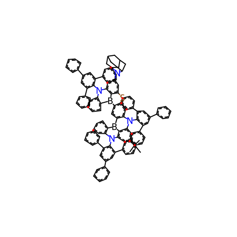 CC(C)(C)c1cc2c3c(c1)N(c1c(-c4ccccc4)cc(-c4ccccc4)cc1-c1ccccc1)c1cc4c(cc1B3c1ccccc1N2c1c(-c2ccccc2)cc(-c2ccccc2)cc1-c1ccccc1)B1c2ccccc2N(c2c(-c3ccccc3)cc(-c3ccccc3)cc2-c2ccccc2)c2cc(N3C5CC6CC(C5)CC3C6)cc(c21)S4